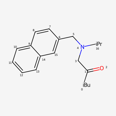 CCC(C)C(=O)CN(Cc1ccc2ccccc2c1)C(C)C